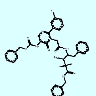 O=C(Cn1c(-c2cccc(Cl)c2)ncc(NC(=O)OCc2ccccc2)c1=O)NC(Cc1ccccc1)C(O)C(F)(F)C(=O)NCc1ccccc1